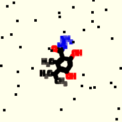 Cc1c(C(=O)NN)c(O)cc(O)c1C(C)C